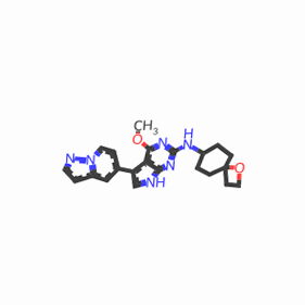 COc1nc(NC2CCC3(CCO3)CC2)nc2[nH]cc(-c3ccn4nccc4c3)c12